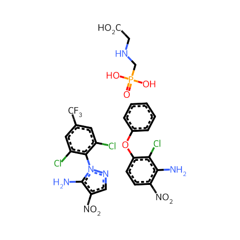 Nc1c([N+](=O)[O-])ccc(Oc2ccccc2)c1Cl.Nc1c([N+](=O)[O-])cnn1-c1c(Cl)cc(C(F)(F)F)cc1Cl.O=C(O)CNCP(=O)(O)O